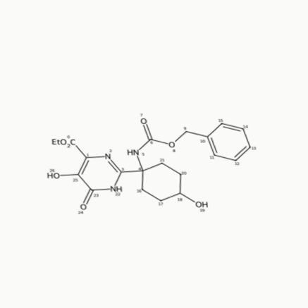 CCOC(=O)c1nc(C2(NC(=O)OCc3ccccc3)CCC(O)CC2)[nH]c(=O)c1O